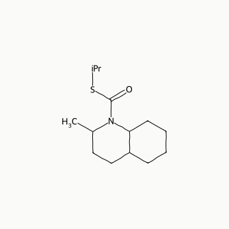 CC(C)SC(=O)N1C(C)CCC2CCCCC21